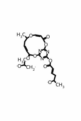 CC([O])CC=CC(=O)Oc1nc2nc(n1)OC(=O)C=COC(C)CC=CC(=O)O2.[CH2]C(C)[O]